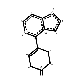 C1=C(c2nccc3sccc23)CCNC1